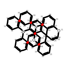 c1ccc(N(c2ccccc2)c2cccc3c2Oc2ccccc2C32c3ccccc3Oc3cccc(N(c4ccccc4)c4ccccc4)c32)cc1